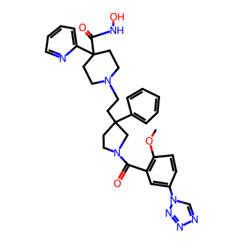 COc1ccc(-n2cnnn2)cc1C(=O)N1CCC(CCN2CCC(C(=O)NO)(c3ccccn3)CC2)(c2ccccc2)C1